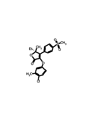 CC[C@@]1(C)OC(=O)C(Oc2ccc(Cl)c(C)c2)=C1c1ccc(S(C)(=O)=O)cc1